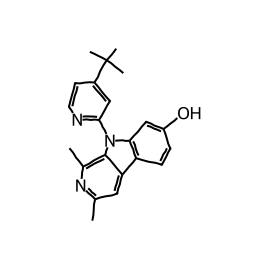 Cc1cc2c3ccc(O)cc3n(-c3cc(C(C)(C)C)ccn3)c2c(C)n1